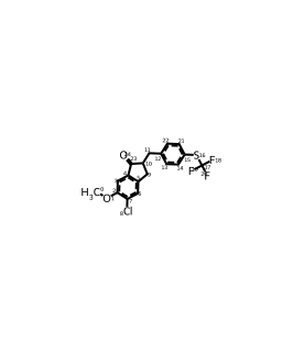 COc1cc2c(cc1Cl)CC(Cc1ccc(SC(F)(F)F)cc1)C2=O